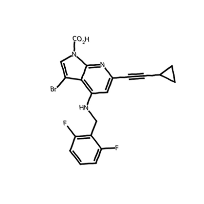 O=C(O)n1cc(Br)c2c(NCc3c(F)cccc3F)cc(C#CC3CC3)nc21